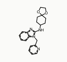 c1ccc(Cn2c(NC3CCC4(CC3)OCCO4)nc3ccccc32)nc1